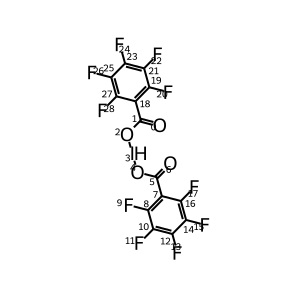 O=C(O[IH]OC(=O)c1c(F)c(F)c(F)c(F)c1F)c1c(F)c(F)c(F)c(F)c1F